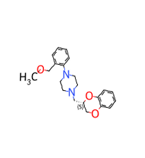 COCc1ccccc1N1CCN(C[C@H]2COc3ccccc3O2)CC1